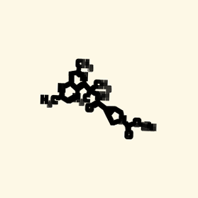 Cc1cc2nc(C)ccc2c(C(C)(C)NC(=O)C2C3CN(C(=O)OC(C)(C)C)CC32)n1